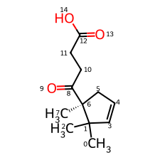 CC1(C)C=CC[C@]1(C)C(=O)CCC(=O)O